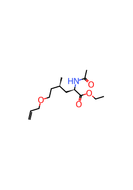 C=CCOCC[C@@H](C)C[C@@H](NC(C)=O)C(=O)OCC